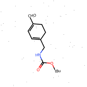 CC(C)(C)OC(=O)NCC1=CC=C(C=O)CC1